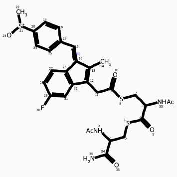 CC(=O)NC(CSC(=O)C(CSC(=O)CC1=C(C)/C(=C/c2ccc([S+](C)[O-])cc2)c2ccc(F)cc21)NC(C)=O)C(N)=O